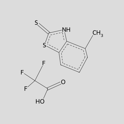 Cc1cccc2sc(=S)[nH]c12.O=C(O)C(F)(F)F